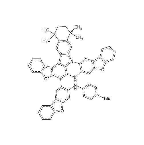 CC(C)(C)c1ccc(Nc2cc3oc4ccccc4c3cc2-c2c3c4c(c5cc6c(cc5n4-c4cc5c(cc4B3)oc3ccccc35)C(C)(C)CCC6(C)C)c3c2oc2ccccc23)cc1